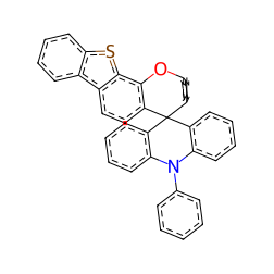 c1ccc(N2c3ccccc3C3(c4ccccc4Oc4c3ccc3c4sc4ccccc43)c3ccccc32)cc1